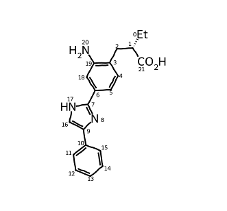 CC[C@@H](Cc1ccc(-c2nc(-c3ccccc3)c[nH]2)cc1N)C(=O)O